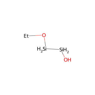 CCO[SiH2][SiH2]O